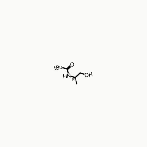 C[C@H](CO)NC(=O)C(C)(C)C